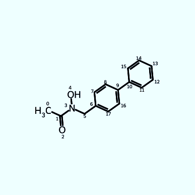 CC(=O)N(O)Cc1ccc(-c2ccccc2)cc1